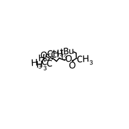 CC(CC(C)(C)C)C(=O)OCCCC(C)(C)[SH](C)(C)=O